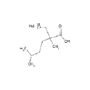 CCC(C)(CCC(C)C)C(=O)O.[Nd]